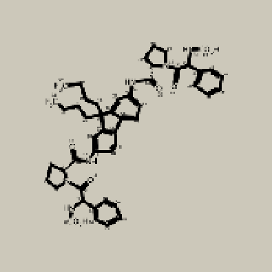 O=C(O)NC(C(=O)N1CCC[C@H]1C(=O)Nc1ccc2c(c1)C(CCCC(F)(F)F)(CCCC(F)(F)F)c1cc(NC(=O)[C@@H]3CCCN3C(=O)C(NC(=O)O)c3ccccc3)ccc1-2)c1ccccc1